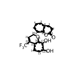 O=c1ccc2ccccc2o1.Oc1ccc2c(c1O)OCC=C2C(F)(F)F